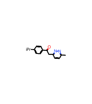 Cc1ccc(CC(=O)c2ccc(C(C)C)cc2)nn1